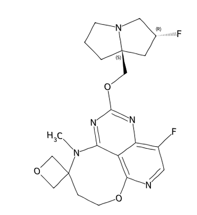 CN1c2nc(OC[C@@]34CCCN3C[C@H](F)C4)nc3c(F)cnc(c23)OCCC12COC2